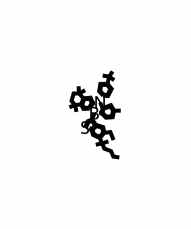 CCCCC(C)(C)c1cc2scc(B3c4ccc(C)cc4N(c4ccc(C(C)(C)C)cc4)c4cc5c(cc43)C(C)(C)CCC5(C)C)c2cc1CC